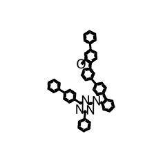 c1ccc(-c2ccc(-c3nc(-c4ccccc4)nc(-n4c5ccccc5c5ccc(-c6ccc7oc8cc(-c9ccccc9)ccc8c7c6)cc54)n3)cc2)cc1